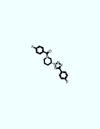 O=C(c1ccc(F)cc1)N1CCC[C@@H](n2nnc(-c3ccc(F)cc3)n2)C1